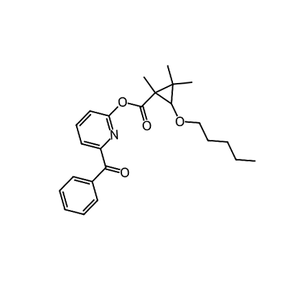 CCCCCOC1C(C)(C)C1(C)C(=O)Oc1cccc(C(=O)c2ccccc2)n1